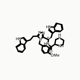 COc1ccc(Cn2c(CCc3c[nH]c4ccccc34)nnc2[C@@H](Cc2c[nH]c3ccccc23)NC(=O)C2CNCCN2)cc1